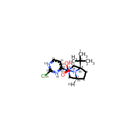 CC(C)(C)[C@]12CC[C@@H](CN(c3ccnc(Cl)n3)C1)N2C(=O)O